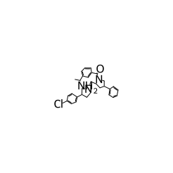 CC(N)c1cccc(C(=O)N2CC(c3ccccc3)CC2CN2CCC(c3ccc(Cl)cc3)C2)c1